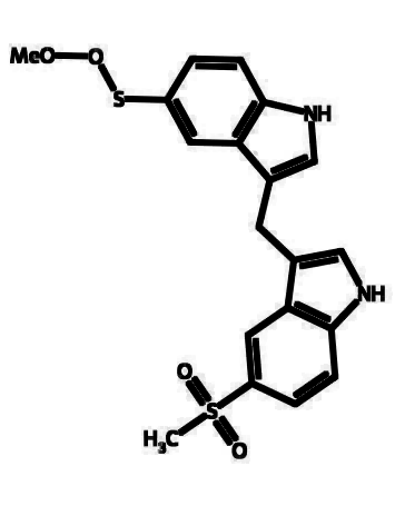 COOSc1ccc2[nH]cc(Cc3c[nH]c4ccc(S(C)(=O)=O)cc34)c2c1